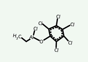 C[CH2][Al]([Cl])[O]c1c(Cl)c(Cl)c(Cl)c(Cl)c1Cl